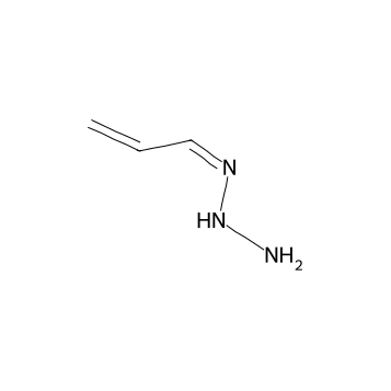 C=C/C=N\NN